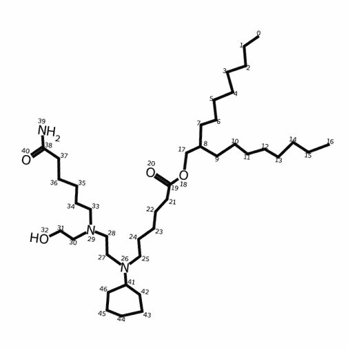 CCCCCCCCC(CCCCCCCC)COC(=O)CCCCCN(CCN(CCO)CCCCCC(N)=O)C1CCCCC1